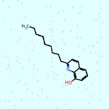 CCCCCCCCCc1ccc2cccc(O)c2n1